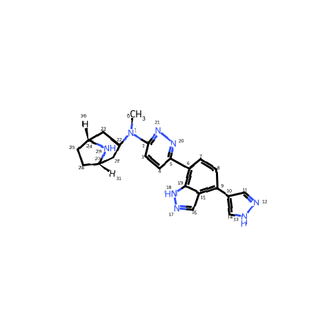 CN(c1ccc(-c2ccc(-c3cn[nH]c3)c3cn[nH]c23)nn1)C1C[C@H]2CC[C@@H](C1)N2